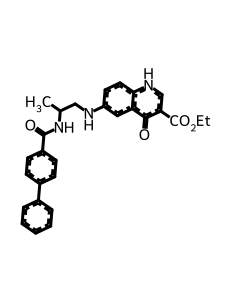 CCOC(=O)c1c[nH]c2ccc(NCC(C)NC(=O)c3ccc(-c4ccccc4)cc3)cc2c1=O